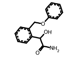 NC(=O)C(O)c1ccccc1COc1ccccc1